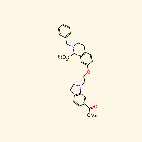 CCOC(=O)C1c2cc(OCCN3CCc4ccc(C(=O)OC)cc43)ccc2CCN1Cc1ccccc1